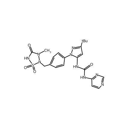 CN1C(=O)NS(=O)(=O)N1Cc1ccc(-n2nc(C(C)(C)C)cc2NC(=O)Nc2ccncn2)cc1